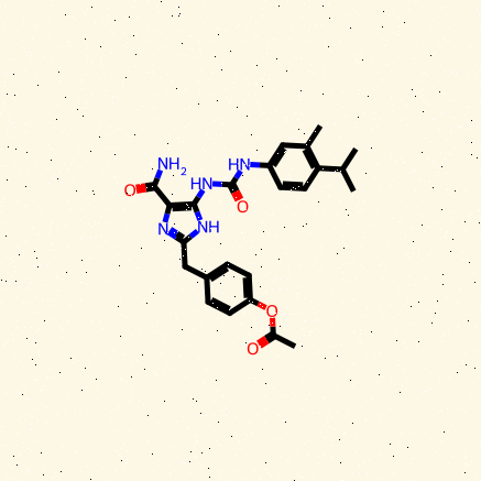 CC(=O)Oc1ccc(Cc2nc(C(N)=O)c(NC(=O)Nc3ccc(C(C)C)c(C)c3)[nH]2)cc1